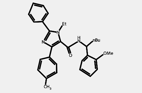 CCCCC(NC(=O)c1c(-c2ccc(C)cc2)nc(-c2ccccc2)n1CC)c1ccccc1OC